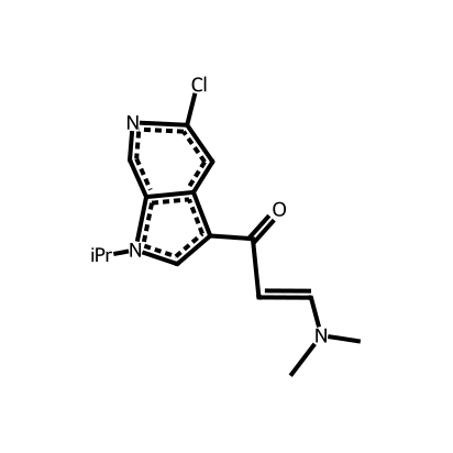 CC(C)n1cc(C(=O)/C=C/N(C)C)c2cc(Cl)ncc21